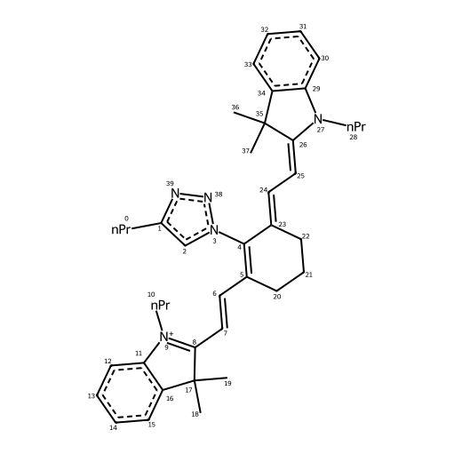 CCCc1cn(C2=C(/C=C/C3=[N+](CCC)c4ccccc4C3(C)C)CCC/C2=C\C=C2\N(CCC)c3ccccc3C2(C)C)nn1